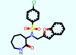 O=C1NCCCCC1N(Cc1cc2ccccc2o1)S(=O)(=O)c1ccc(Cl)cc1